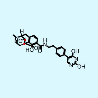 CN1CC[C@]23CC(O)CC[C@@]2(O)[C@H]1Cc1ccc(C(=O)NCCc2ccc(-c4cnc(O)nc4O)cc2)c(O)c13